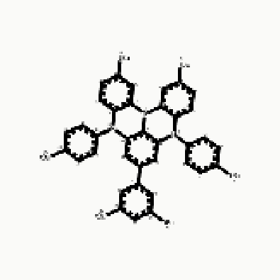 CC(C)(C)c1ccc(N2c3ccc(C(C)(C)C)cc3B3c4cc(C(C)(C)C)ccc4N(c4ccc(C(C)(C)C)cc4)c4cc(-c5cc(C(C)(C)C)cc(C(C)(C)C)c5)cc2c43)cc1